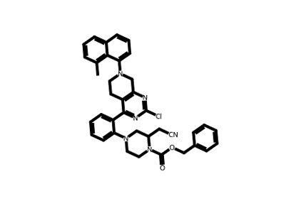 Cc1cccc2cccc(N3CCc4c(nc(Cl)nc4-c4ccccc4N4CCN(C(=O)OCc5ccccc5)C(CC#N)C4)C3)c12